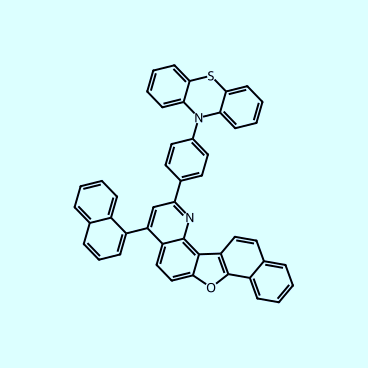 c1ccc2c(c1)Sc1ccccc1N2c1ccc(-c2cc(-c3cccc4ccccc34)c3ccc4oc5c6ccccc6ccc5c4c3n2)cc1